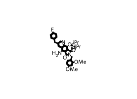 COc1ccc(CN2C(=O)c3c(c(O[Si](C(C)C)(C(C)C)C(C)C)c4ncc(Cc5ccc(F)cc5)cc4c3N)C2=O)c(OC)c1